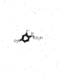 CCOC(=O)Nc1ccc([N+](=O)[O-])cc1F